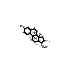 CN[C@H]1[C@H](F)C[C@H]2[C@@H]3CCC4=C[C@@H](O)C=C[C@]4(C)[C@H]3CC[C@@]21C